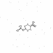 O=C(Cl)OC1CCC([N+](=O)[O-])CC1